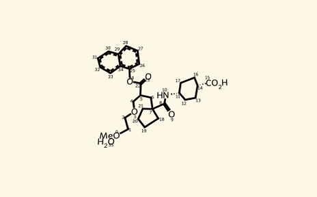 COCCOCC(CC1(C(=O)N[C@H]2CC[C@@H](C(=O)O)CC2)CCCC1)C(=O)Oc1cccc2ccccc12.O